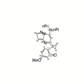 CCCN(CCC)c1cc(C2(c3ccc(OC)cc3Cl)CC2)nc2ccnn12